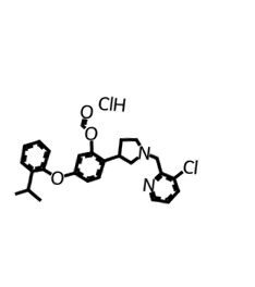 CC(C)c1ccccc1Oc1ccc(C2CCN(Cc3ncccc3Cl)C2)c(OC=O)c1.Cl